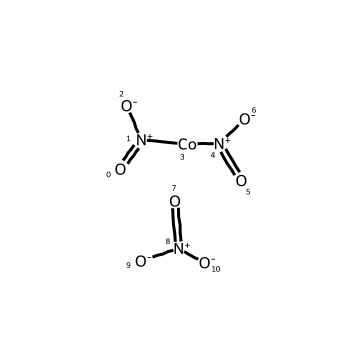 O=[N+]([O-])[Co][N+](=O)[O-].O=[N+]([O-])[O-]